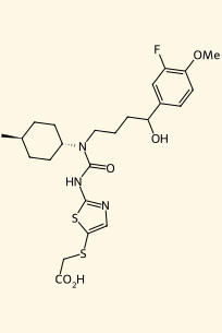 COc1ccc(C(O)CCCN(C(=O)Nc2ncc(SCC(=O)O)s2)[C@H]2CC[C@H](C)CC2)cc1F